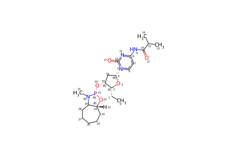 CC[C@H]1O[C@@H](n2ccc(NC(=O)C(C)C)nc2=O)C[C@H]1O[P@]1O[C@@H]2CCCCCC2N1C